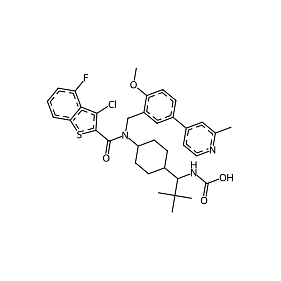 COc1ccc(-c2ccnc(C)c2)cc1CN(C(=O)c1sc2cccc(F)c2c1Cl)C1CCC(C(NC(=O)O)C(C)(C)C)CC1